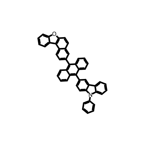 c1ccc(-n2c3ccccc3c3cc(-c4c5ccccc5c(-c5ccc6c(ccc7oc8ccccc8c76)c5)c5ccccc45)ccc32)cc1